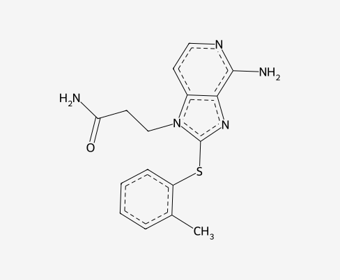 Cc1ccccc1Sc1nc2c(N)nccc2n1CCC(N)=O